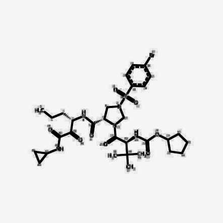 CCC[C@H](NC(=O)[C@@H]1CN(S(=O)(=O)c2ccc(Br)cc2)CN1C(=O)[C@@H](NC(=O)OC1CCCC1)C(C)(C)C)C(=O)C(=O)NC1CC1